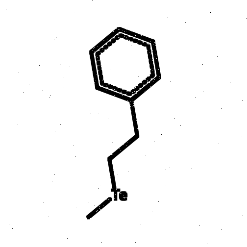 C[Te]CCc1ccccc1